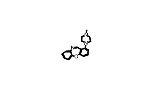 CN1CCN(c2cccc3c2C=Nc2ccccc2O3)CC1